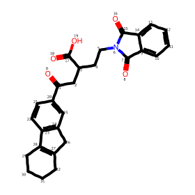 O=C(CC(CCN1C(=O)c2ccccc2C1=O)C(=O)O)c1ccc2c(c1)CC1=C2CCCC1